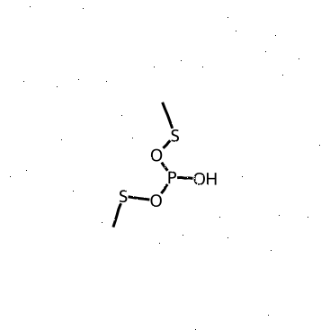 CSOP(O)OSC